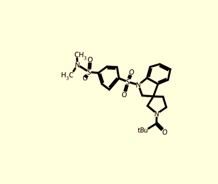 CN(C)S(=O)(=O)c1ccc(S(=O)(=O)N2CC3(CCN(C(=O)C(C)(C)C)C3)c3ccccc32)cc1